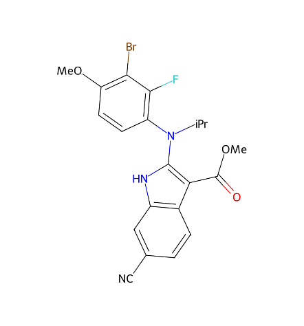 COC(=O)c1c(N(c2ccc(OC)c(Br)c2F)C(C)C)[nH]c2cc(C#N)ccc12